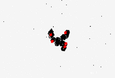 c1cc(-c2cc3ccccc3o2)cc(-c2ccc(N(c3ccc4c(ccc5ccccc54)c3)c3ccc4c(ccc5ccccc54)c3)c3ccccc23)c1